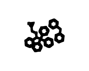 c1ccc(C(OCC2CO2)C(c2ccccc2)(c2ccccc2)c2ccccc2)cc1.c1ccc(Cc2ccccc2)cc1